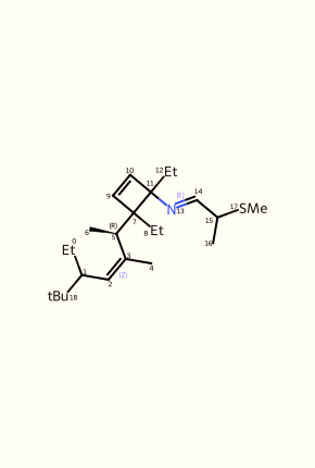 CCC(/C=C(/C)[C@@H](C)C1(CC)C=CC1(CC)/N=C/C(C)SC)C(C)(C)C